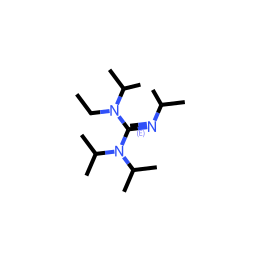 CCN(/C(=N\C(C)C)N(C(C)C)C(C)C)C(C)C